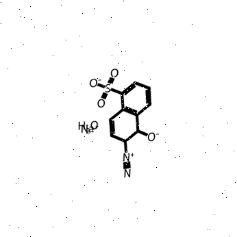 N#[N+]C1C=Cc2c(cccc2S(=O)(=O)[O-])C1[O-].O.[Na+]